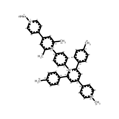 CCCCCC[n+]1ccc(-c2cc(C)[n+](-c3ccc(-[n+]4c(-c5ccc(C)cc5)cc(-c5cc[n+](C)cc5)cc4-c4ccc(C)cc4)cc3)c(C)c2)cc1